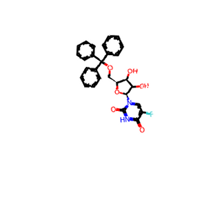 O=c1[nH]c(=O)n([C@H]2O[C@@H](COC(c3ccccc3)(c3ccccc3)c3ccccc3)C(O)C2O)cc1F